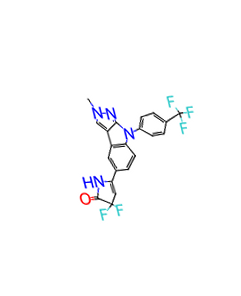 Cn1cc2c3cc(C4=CC(F)(F)C(=O)N4)ccc3n(-c3ccc(C(F)(F)F)cc3)c2n1